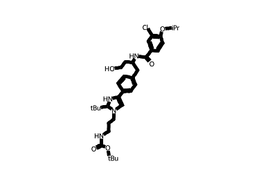 CC(C)Oc1ccc(C(=O)NC(CCO)Cc2ccc(C3=CN(CCCNC(=O)OC(C)(C)C)C(C(C)(C)C)N3)cc2)cc1Cl